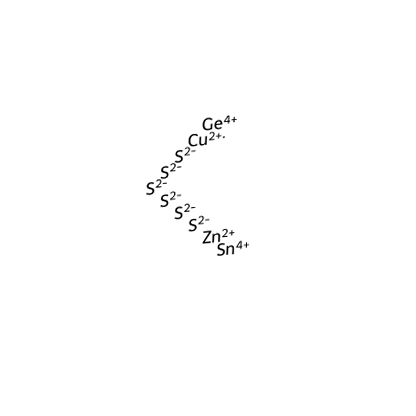 [Cu+2].[Ge+4].[S-2].[S-2].[S-2].[S-2].[S-2].[S-2].[Sn+4].[Zn+2]